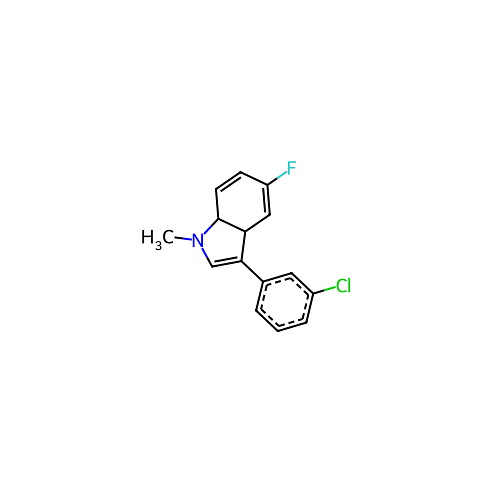 CN1C=C(c2cccc(Cl)c2)C2C=C(F)C=CC21